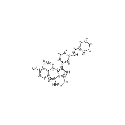 COc1c(Cl)cccc1Nc1c(-c2ccnc(NC[C@H]3COCCO3)n2)[nH]c2c1C(=O)NCC2